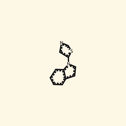 [c]1ccc2c(c1)ccn2-c1cncs1